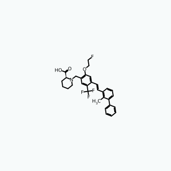 Cc1c(/C=C/c2cc(OCCF)c(CN3CCCC[C@H]3C(=O)O)cc2C(F)(F)F)cccc1-c1ccccc1